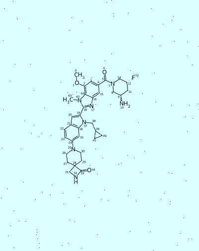 COc1cc(C(=O)N2C[C@H](N)C[C@@H](F)C2)cc2nc(-c3cc4ccc(N5CCC6(CC5)CNC6=O)cc4n3CC3CC3)n(C)c12